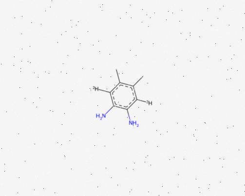 [2H]c1c(C)c(C)c([2H])c(N)c1N